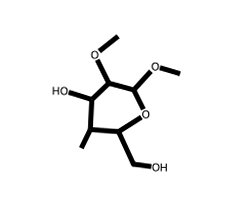 COC1OC(CO)C(C)C(O)C1OC